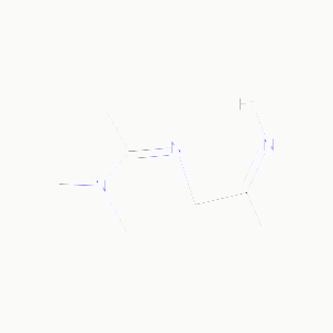 CC/N=C(/C)C/N=C(/C)N(C)C